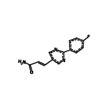 NC(=O)/C=C/c1cnc(-c2ccc(F)cc2)nc1